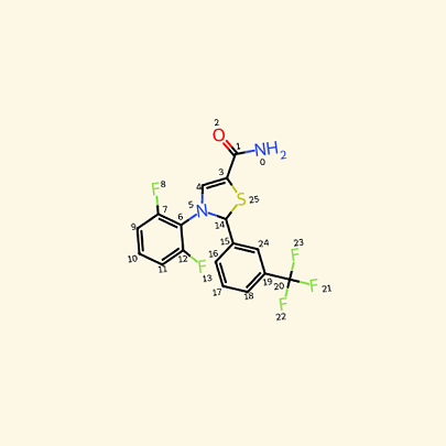 NC(=O)C1=CN(c2c(F)cccc2F)C(c2cccc(C(F)(F)F)c2)S1